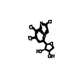 O[C@@H]1COC(c2cc(Cl)c(Cl)c3nc(Cl)cn23)[C@@H]1O